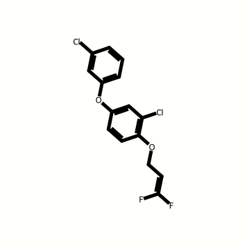 FC(F)=CCOc1ccc(Oc2cccc(Cl)c2)cc1Cl